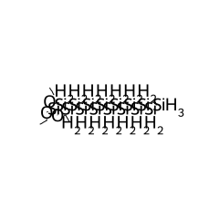 CCO[Si](OCC)(OCC)[SiH2][SiH2][SiH2][SiH2][SiH2][SiH2][SiH2][SiH2][SiH2][SiH2][SiH2][SiH2][SiH2][SiH2][SiH3]